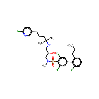 CN(C[C@H](O)CNC(C)(C)CCCc1ccc(F)nc1)S(=O)(=O)c1c(Cl)cc(-c2c(F)cccc2CCC(=O)O)cc1Cl